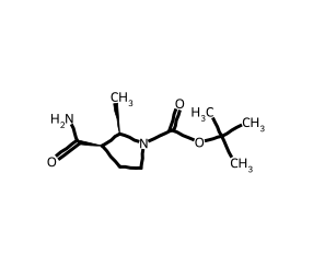 C[C@@H]1[C@H](C(N)=O)CCN1C(=O)OC(C)(C)C